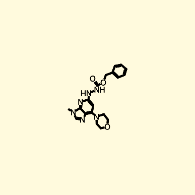 Cn1cnc2c(N3CCOCC3)cc(NNC(=O)OCc3ccccc3)nc21